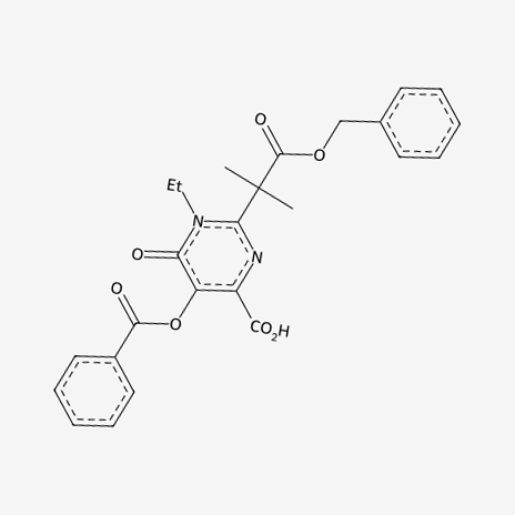 CCn1c(C(C)(C)C(=O)OCc2ccccc2)nc(C(=O)O)c(OC(=O)c2ccccc2)c1=O